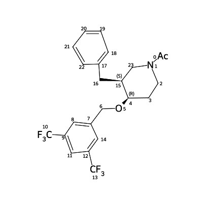 CC(=O)N1CC[C@@H](OCc2cc(C(F)(F)F)cc(C(F)(F)F)c2)[C@@H](Cc2ccccc2)C1